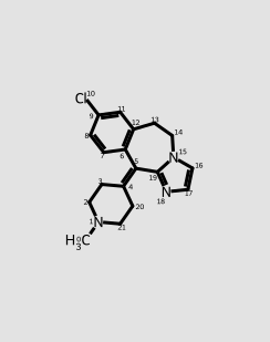 CN1CCC(=C2c3ccc(Cl)cc3CCn3ccnc32)CC1